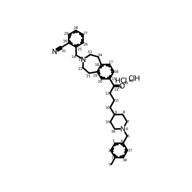 Cc1ccc(CN2CCC(CCCC(=O)c3ccc4c(c3)CCN(Cc3ccccc3C#N)CC4)CC2)cc1.Cl.Cl